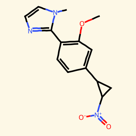 COc1cc(C2CC2[N+](=O)[O-])ccc1-c1nccn1C